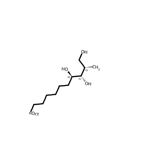 CCCCCCCCCCCCCC[C@@H](O)[C@@H](O)[C@@H](C)CO